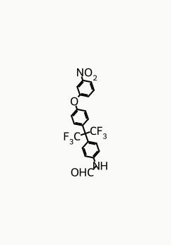 O=CNc1ccc(C(c2ccc(Oc3cccc([N+](=O)[O-])c3)cc2)(C(F)(F)F)C(F)(F)F)cc1